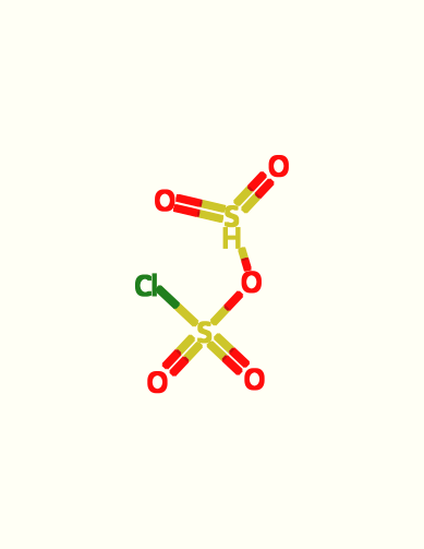 O=[SH](=O)OS(=O)(=O)Cl